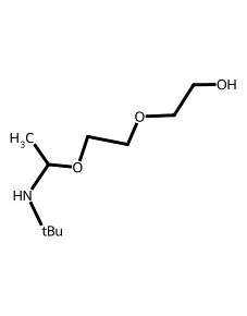 CC(NC(C)(C)C)OCCOCCO